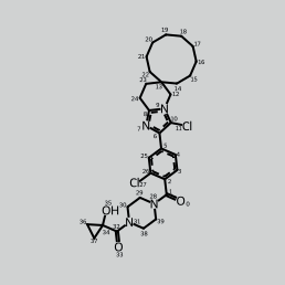 O=C(c1ccc(-c2nc3n(c2Cl)CC2(CCCCCCCCC2)CC3)cc1Cl)N1CCN(C(=O)C2(O)CC2)CC1